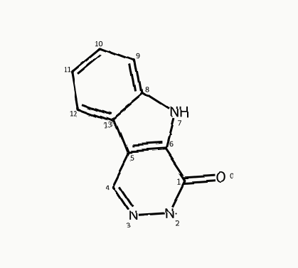 O=C1[N]N=Cc2c1[nH]c1ccccc21